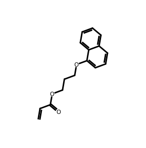 C=CC(=O)OCCCOc1cccc2ccccc12